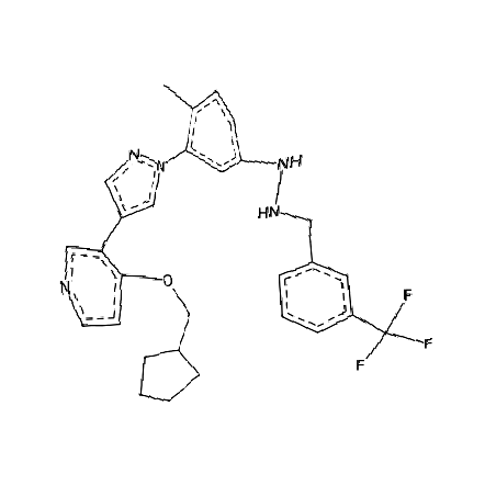 Cc1ccc(NNCc2cccc(C(F)(F)F)c2)cc1-n1cc(-c2cnccc2OCC2CCCC2)cn1